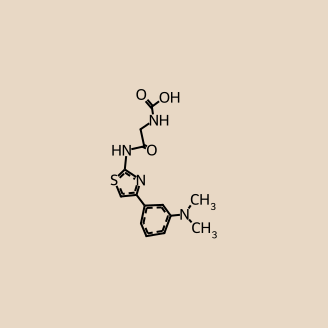 CN(C)c1cccc(-c2csc(NC(=O)CNC(=O)O)n2)c1